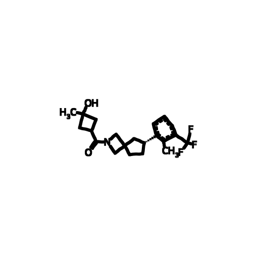 Cc1c([C@@H]2CCC3(C2)CN(C(=O)C2CC(C)(O)C2)C3)cccc1C(F)(F)F